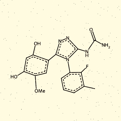 COc1cc(-c2nnc(NC(N)=O)n2-c2cccc(C)c2F)c(O)cc1O